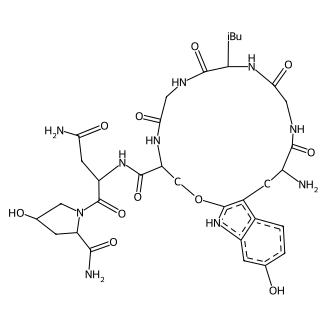 CCC(C)C1NC(=O)CNC(=O)C(N)Cc2c([nH]c3cc(O)ccc23)OCC(C(=O)NC(CC(N)=O)C(=O)N2CC(O)CC2C(N)=O)NC(=O)CNC1=O